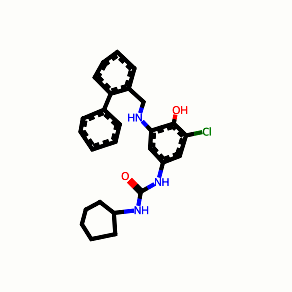 O=C(Nc1cc(Cl)c(O)c(NCc2ccccc2-c2ccccc2)c1)NC1CCCCC1